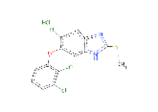 CSc1nc2cc(Cl)c(Oc3cccc(Cl)c3Cl)cc2[nH]1.Cl